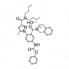 CCCCN(CCCC)C(=O)c1cc(C)n(-c2ccc(NC(=O)Oc3ccccc3)cc2C(=O)N2Cc3ccccc3C[C@H]2CO)n1